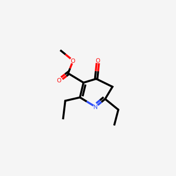 CCC1=NC(CC)=C(C(=O)OC)C(=O)C1